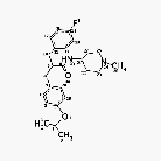 CC(C)Oc1ccc(CC(Cc2ccc(F)cc2)C(=O)NC2CCN(C)CC2)cc1